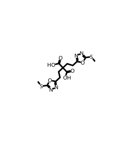 CSc1nnc(CCC(CCc2nnc(SC)o2)(C(=O)O)C(=O)O)o1